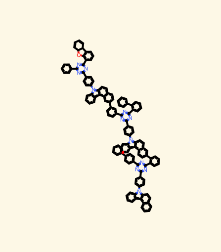 C1=CC2Oc3c(-c4nc(-c5ccccc5)nc(-c5ccc(-n6c7ccccc7c7c8cc(-c9cccc(-c%10nc(-c%11ccc(-n%12c%13ccccc%13c%13c%14ccc(-c%15ccccc%15-c%15nc(-c%16ccc(-c%17ccccc%17)cc%16)nc(-c%16ccc(-n%17c%18ccccc%18c%18c%19ccccc%19ccc%18%17)cc%16)n%15)cc%14ccc%13%12)cc%11)nc(-c%11ccccc%11-c%11ccccc%11)n%10)c9)ccc8ccc76)cc5)n4)cccc3C2C=C1